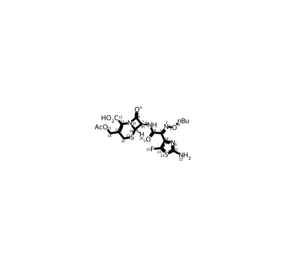 CCCCON=C(C(=O)N[C@@H]1C(=O)N2C(C(=O)O)=C(COC(C)=O)CS[C@H]12)c1nc(N)sc1F